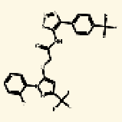 O=C(COc1cc(C(F)(F)F)nn1-c1ccccc1Cl)Nc1snnc1-c1ccc(C(F)(F)F)cc1